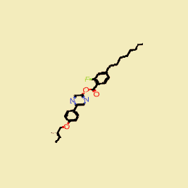 CCCCCCCCc1ccc(C(=O)Oc2cnc(-c3ccc(OC[C@@H](C)CC)cc3)cn2)c(F)c1